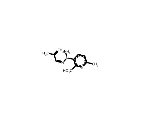 C=C(C)/C=N\N(N)c1ccc(C)nc1C(=O)O